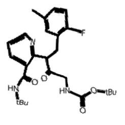 Cc1ccc(F)c(CC(C(=O)CNC(=O)OC(C)(C)C)c2ncccc2C(=O)NC(C)(C)C)c1